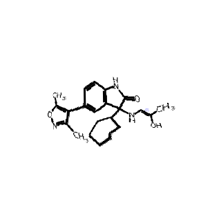 C/C(O)=C/NC1(C2CCCCC2)C(=O)Nc2ccc(-c3c(C)noc3C)cc21